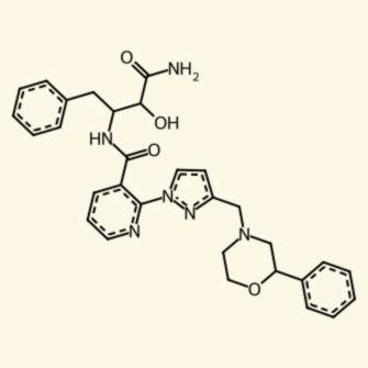 NC(=O)C(O)C(Cc1ccccc1)NC(=O)c1cccnc1-n1ccc(CN2CCOC(c3ccccc3)C2)n1